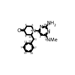 CNc1cc(N2CCC(=O)CC2Cc2ccccc2)nc(N)n1